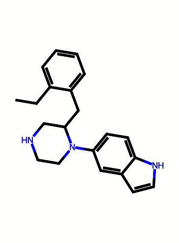 CCc1ccccc1CC1CNCCN1c1ccc2[nH]ccc2c1